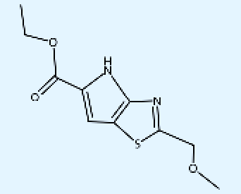 CCOC(=O)c1cc2sc(COC)nc2[nH]1